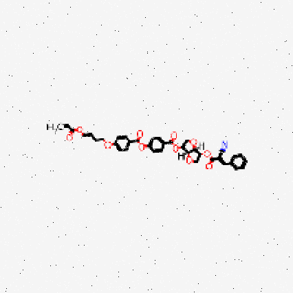 C=CC(=O)OCCCCOc1ccc(C(=O)Oc2ccc(C(=O)O[C@H]3CO[C@H]4[C@@H]3OC[C@H]4OC(=O)/C(C#N)=C/c3ccccc3)cc2)cc1